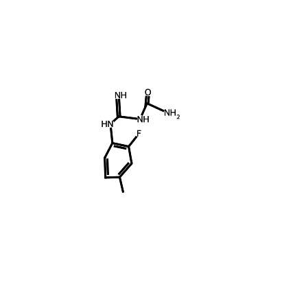 Cc1ccc(NC(=N)NC(N)=O)c(F)c1